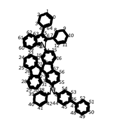 C1=CCCC(c2c(C3=CCCC=C3)n(-c3ccc4c(c3)C3(c5ccccc5-c5ccccc53)c3cc(N(C5=CCCC=C5)c5ccc(-c6ccccc6)cc5)ccc3-4)c3ccccc23)=C1